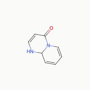 O=C1C=CNC2C=CC=CN12